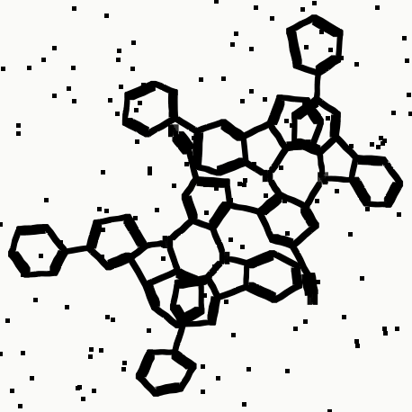 N#Cc1cc(-c2cc(C#N)cc(-n3c4ccccc4c4cc(-c5ccccc5)ccc43)c2-n2c3ccccc3c3cc(-c4ccccc4)ccc32)c(-n2c3ccccc3c3cc(-c4ccccc4)ccc32)c(-n2c3ccccc3c3cc(-c4ccccc4)ccc32)c1